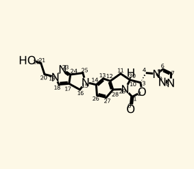 O=C1O[C@@H](Cn2ccnn2)[C@@H]2Cc3cc(N4Cc5cn(CCO)nc5C4)ccc3N12